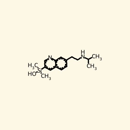 CC(C)NCCc1ccc2cc([Si](C)(C)O)cnc2c1